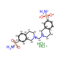 Cl.Cl.NS(=O)(=O)c1ccc2c(c1)CN(CN1CCc3ccc(S(N)(=O)=O)cc3C1)CC2